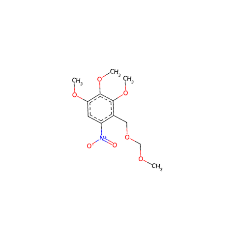 COCOCc1c([N+](=O)[O-])cc(OC)c(OC)c1OC